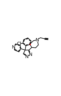 C#CCN1CCC(C2=NN=CC2(c2ccncc2)c2ccccc2Cl)CC1